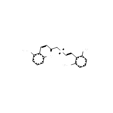 COc1cccc(OC)c1/C=C\C(=O)CS(=O)(=O)/C=C/c1c(OC)cccc1OC